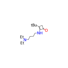 CCN(CC)CCCCNC1=C(C(C)(C)C)CC1=O